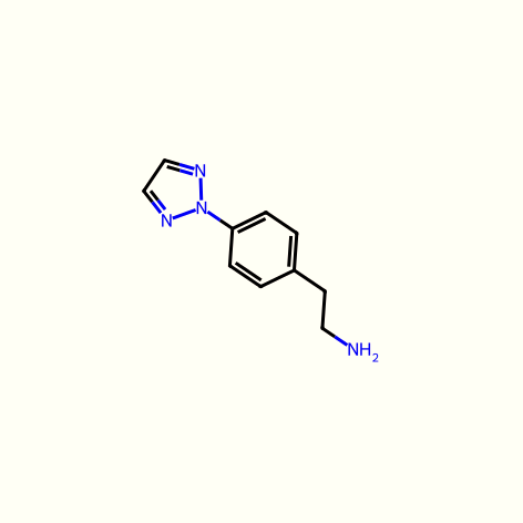 NCCc1ccc(-n2nccn2)cc1